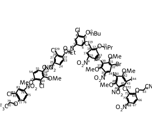 CCCCOc1ccc([N+](=O)[O-])cc1Cl.CCCOc1ccc([N+](=O)[O-])cc1Cl.CCOc1ccc([N+](=O)[O-])cc1Cl.COc1c(Br)cc([N+](=O)[O-])c(OC)c1Br.COc1c(I)cc([N+](=O)[O-])c(OC)c1I.COc1ccc([N+](=O)[O-])c(OC)c1Cl.N#CCOc1ccc([N+](=O)[O-])cc1Cl.O=[N+]([O-])c1ccc(OCC(F)(F)F)c(Cl)c1